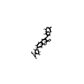 Cc1cn2cc(-c3cc4ccc(N5CC[C@@H](N(C)C)C5)cc4oc3=O)cc2cn1